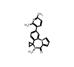 Cc1ccc(-c2ccc3c(c2)-n2cccc2C(=O)N(C)C32CC2)c(C)n1